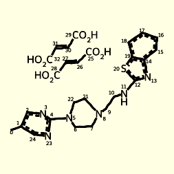 Cc1cnc(N2CCN(CCNc3nc4ccccc4s3)CC2)nc1.O=C(O)C=CC(=O)O.O=C(O)C=CC(=O)O